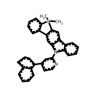 C[Si]1(C)c2ccccc2-c2cc3c(cc21)c1ccccc1n3-c1cc(-c2cccc3ccccc23)ccn1